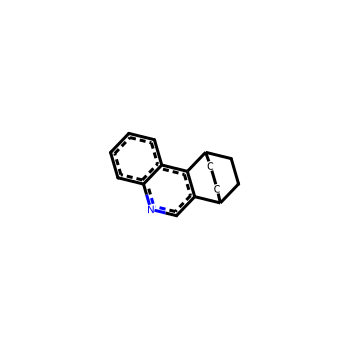 c1ccc2c3c(cnc2c1)C1CCC3CC1